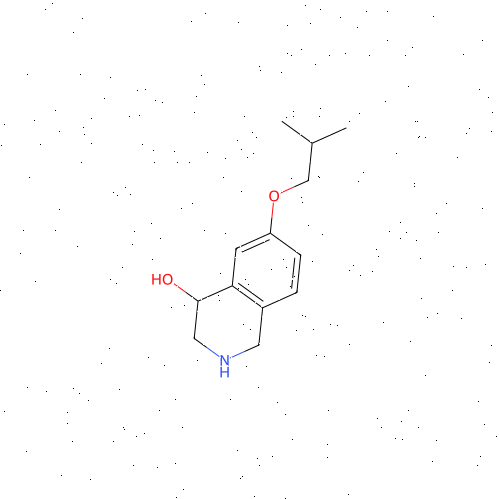 CC(C)COc1ccc2c(c1)C(O)CNC2